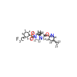 O=S(=O)(c1cccc(C(F)(F)F)c1)N1CCN2C[C@H](Oc3ccc(C4CC4)cn3)C[C@H]2C1